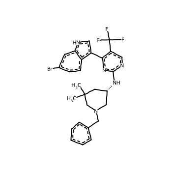 CC1(C)C[C@H](Nc2ncc(C(F)(F)F)c(-c3c[nH]c4cc(Br)ccc34)n2)CN(Cc2ccccc2)C1